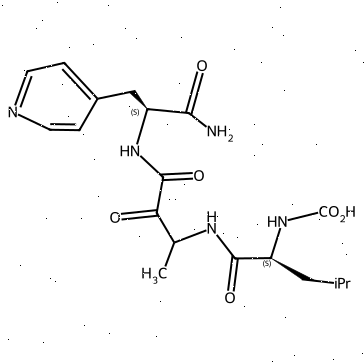 CC(C)C[C@H](NC(=O)O)C(=O)NC(C)C(=O)C(=O)N[C@@H](Cc1ccncc1)C(N)=O